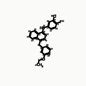 CCOc1cc(Cc2nnc(Nc3ccc(F)c(Cl)c3)c3ccccc23)ccn1